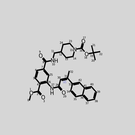 COC(=O)c1ccc(C(=O)NCC2CCN(C(=O)OC(C)(C)C)CC2)cc1NC(=O)/C=C(/C)c1ccc2ccccc2c1